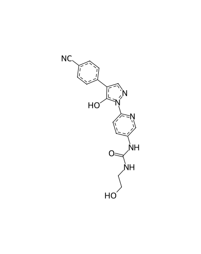 N#Cc1ccc(-c2cnn(-c3ccc(NC(=O)NCCO)cn3)c2O)cc1